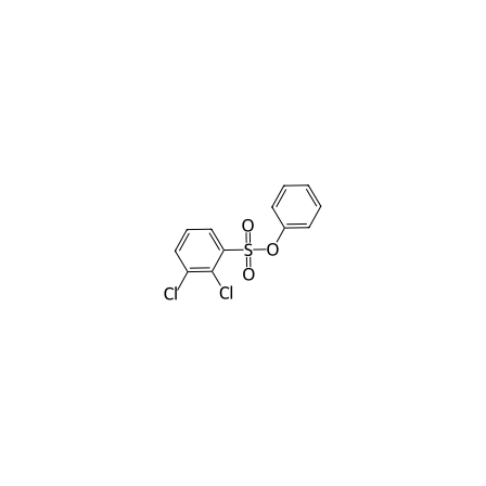 O=S(=O)(Oc1ccccc1)c1cccc(Cl)c1Cl